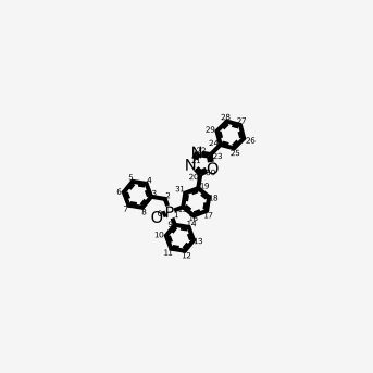 O=P(Cc1ccccc1)(c1ccccc1)c1cccc(-c2nnc(-c3ccccc3)o2)c1